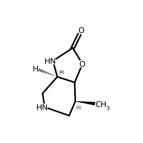 C[C@H]1CNC[C@H]2NC(=O)OC12